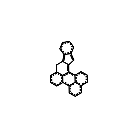 C1=c2ccccc2=C2Cc3cccc4c3c(c3cccc5cccc4c53)=C12